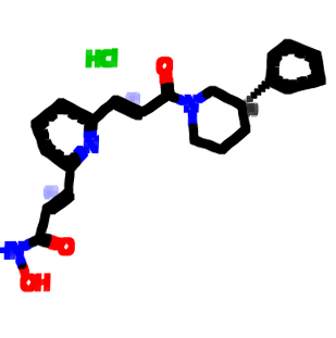 Cl.O=C(/C=C/c1cccc(/C=C/C(=O)N2CCC[C@@H](c3ccccc3)C2)n1)NO